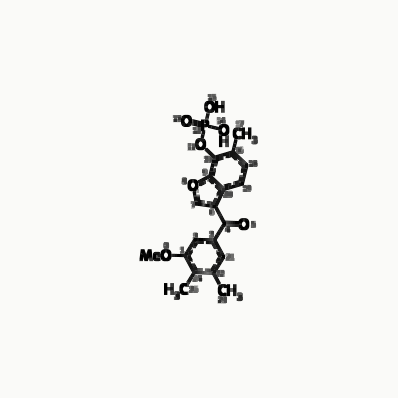 COc1cc(C(=O)c2coc3c(OP(=O)(O)O)c(C)ccc23)cc(C)c1C